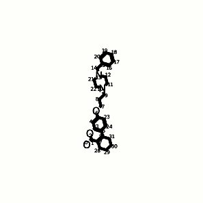 O=c1oc2cc(OCCCN3CCN(Cc4ccccc4)CC3)ccc2c2c1CCCC2